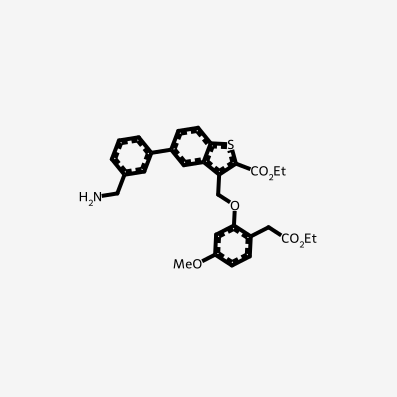 CCOC(=O)Cc1ccc(OC)cc1OCc1c(C(=O)OCC)sc2ccc(-c3cccc(CN)c3)cc12